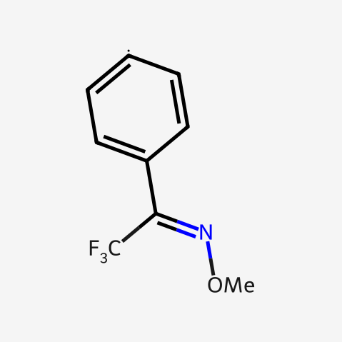 CON=C(c1cc[c]cc1)C(F)(F)F